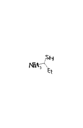 CCC(S)CC.N